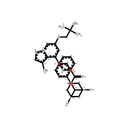 CC(C)(O)COc1cc(-c2ccc(N3C[C@H]4C[C@@H](C3)C4NC(=O)c3ccccn3)nc2)c2c(C#N)cnn2c1